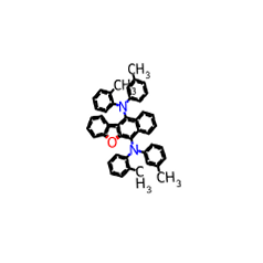 Cc1cccc(N(c2ccccc2C)c2c3ccccc3c(N(c3cccc(C)c3)c3ccccc3C)c3c2oc2ccccc23)c1